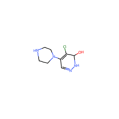 OC1NN=CC(N2CCNCC2)=C1Cl